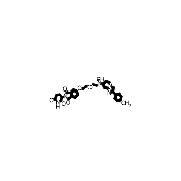 Cc1ccc(-c2cn3ccc(N(C)CCOCCOc4ccc5c(c4)C(=O)N(C4CCC(=O)NC4=O)C5=O)cc3n2)cc1